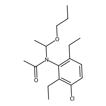 CCCOC(C)N(C(C)=O)c1c(CC)ccc(Cl)c1CC